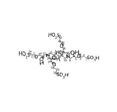 O=S(=O)(O)CCCOCC(O)CN(CCCCCCN(CC(O)COCCCS(=O)(=O)O)CC(O)COCCCS(=O)(=O)O)CC(O)COCCCS(=O)(=O)O